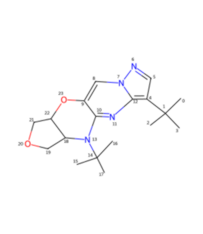 CC(C)(C)c1cnn2cc3c(nc12)N(C(C)(C)C)C1COCC1O3